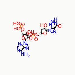 Nc1ncnc2c1ncn2[C@@H]1O[C@H](COP(=O)(O)O)[C@@H](O)[C@H]1OP(=O)(O)OC[C@@H]1C[C@@H](O)[C@H](n2cnc3c(=O)[nH]nnc32)O1